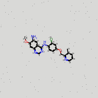 CCOc1cc2ncnc(Nc3ccc(OCc4ncccc4C)cc3Cl)c2cc1N